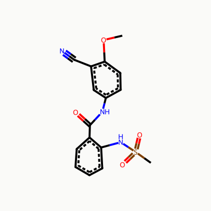 COc1ccc(NC(=O)c2ccccc2NS(C)(=O)=O)cc1C#N